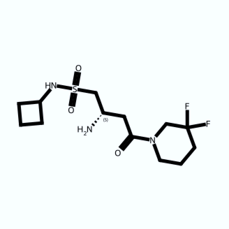 N[C@@H](CC(=O)N1CCCC(F)(F)C1)CS(=O)(=O)NC1CCC1